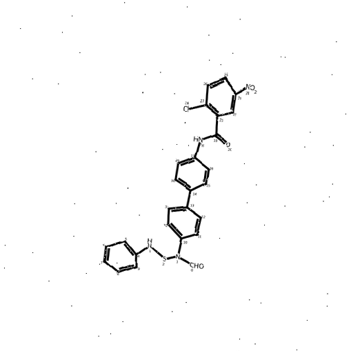 O=CN(SNc1ccccc1)c1ccc(-c2ccc(NC(=O)c3cc([N+](=O)[O-])ccc3Cl)cc2)cc1